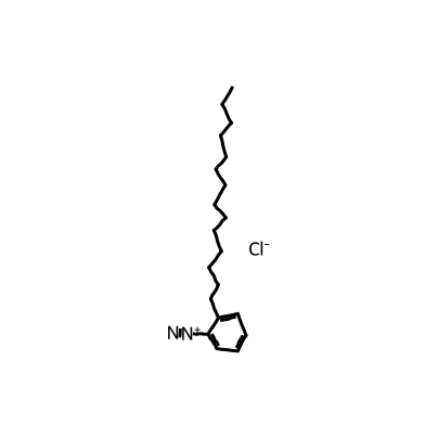 CCCCCCCCCCCCCCc1ccccc1[N+]#N.[Cl-]